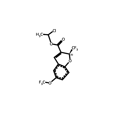 CC(Cl)OC(=O)C1=Cc2cc(OC(F)(F)F)ccc2O[C@@H]1C(F)(F)F